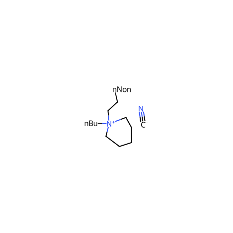 CCCCCCCCCCC[N+]1(CCCC)CCCCC1.[C-]#N